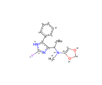 CCCCC(c1nc(I)[nH]c1-c1ccccc1)N(C)C1=COCO1